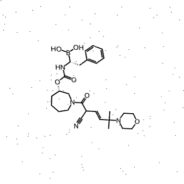 CC(C)(/C=C/C(C#N)C(=O)N1CCCC[C@H](OC(=O)N[C@@H](Cc2ccccc2)B(O)O)C1)N1CCOCC1